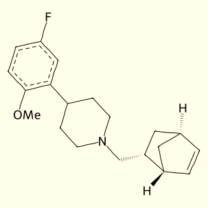 COc1ccc(F)cc1C1CCN(C[C@@H]2C[C@H]3C=C[C@H]2C3)CC1